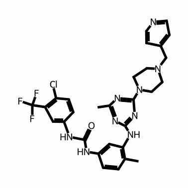 Cc1nc(Nc2cc(NC(=O)Nc3ccc(Cl)c(C(F)(F)F)c3)ccc2C)nc(N2CCN(Cc3ccncc3)CC2)n1